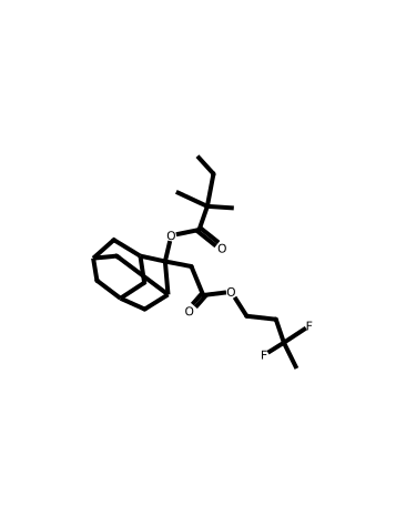 CCC(C)(C)C(=O)OC1(CC(=O)OCCC(C)(F)F)C2CC3CC(C2)CC1C3